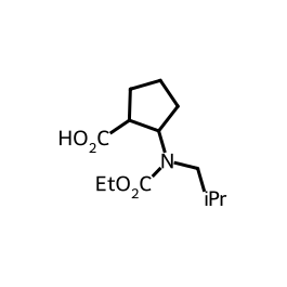 CCOC(=O)N(CC(C)C)C1CCCC1C(=O)O